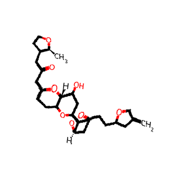 C=C1COC(CCC23C[C@@H](OO2)C3C2CC(O)[C@H]3OC(CC(=O)CC4CCO[C@H]4C)CCC3O2)C1